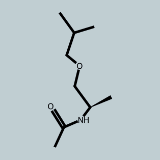 CC(=O)N[C@H](C)COCC(C)C